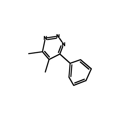 Cc1nnnc(-c2ccccc2)c1C